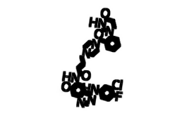 COc1cc2ncnc(Nc3ccc(F)c(Cl)c3)c2cc1NC(=O)/C=C/CN1CCN(Cc2ccccc2N2CCC(=O)NC2=O)CC1